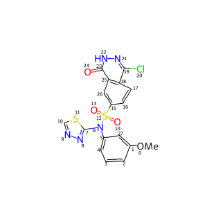 COc1cccc(N(c2nncs2)S(=O)(=O)c2ccc3c(Cl)n[nH]c(=O)c3c2)c1